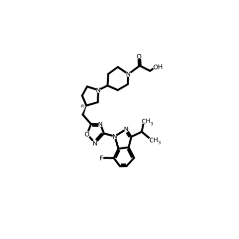 CC(C)c1nn(-c2noc(C[C@H]3CCN(C4CCN(C(=O)CO)CC4)C3)n2)c2c(F)cccc12